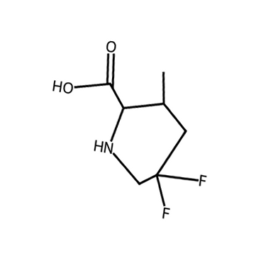 CC1CC(F)(F)CNC1C(=O)O